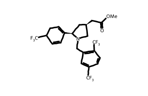 COC(=O)C[C@@H]1C[C@H](C2=CCC(C(F)(F)F)C=C2)N(Cc2cc(C(F)(F)F)ccc2C(F)(F)F)C1